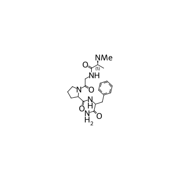 CN[C@@H](C)C(=O)NCC(=O)N1CCCC1C(=O)NC(Cc1ccccc1)C(N)=O